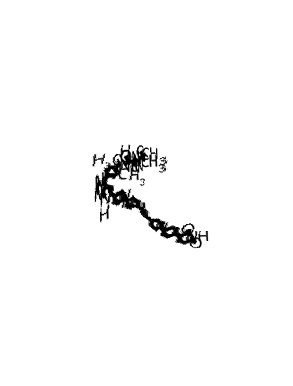 Cc1cc(-c2ncnc3[nH]c(-c4ccc(N5CCN(CCC6CCN(c7ccc(C8CCC(=O)NC8=O)cc7)CC6)CC5)nc4)cc23)ccc1[C@@H](C)NC(=O)c1nc(C(C)(C)C)no1